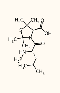 CC(C)C[C@H](NP)C(=O)N1[C@H](C(=O)O)C(C)(C)SC1(C)C